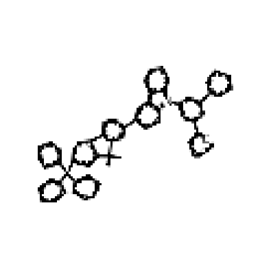 CC1(C)c2cc(-c3ccc4c(c3)c3ccccc3n4-c3cc(-c4ccccc4)cc(-c4ccccc4)c3)ccc2-c2ccc(C(c3ccccc3)(c3ccccc3)c3ccccc3)cc21